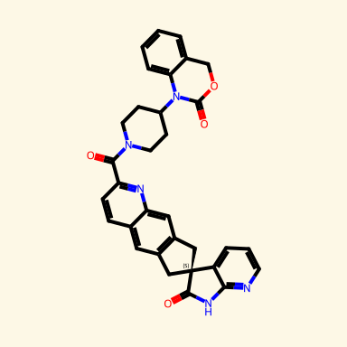 O=C(c1ccc2cc3c(cc2n1)C[C@]1(C3)C(=O)Nc2ncccc21)N1CCC(N2C(=O)OCc3ccccc32)CC1